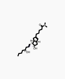 CCCC[C@H](O)C/C=C/[C@@H]1[C@H]2CC(CCCCC(=O)N(C)C)=C[C@H]2C[C@H]1O